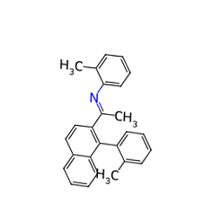 C/C(=N\c1ccccc1C)c1ccc2ccccc2c1-c1ccccc1C